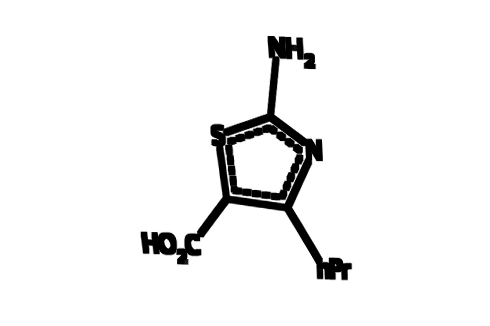 CCCc1nc(N)sc1C(=O)O